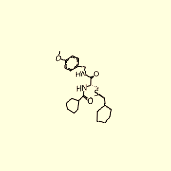 COc1ccc(CNC(=O)[C@H](CSCC2CCCCC2)NC(=O)C2CCCCC2)cc1